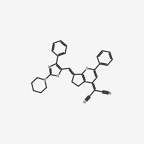 N#CC(C#N)=C1C=C(c2ccccc2)OC2=C1CC/C2=C\c1sc(N2CCCCC2)nc1-c1ccccc1